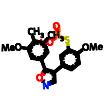 COc1ccc(-c2cnoc2-c2cc(C)c(C)c(OC)c2)cc1S[PH](=O)O